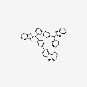 c1ccc(N(c2ccc(-c3ccc4oc5cccc(-c6ccc(N(c7ccccc7)c7nc8ccccc8o7)cc6)c5c4c3)cc2)c2nc3ccccc3o2)cc1